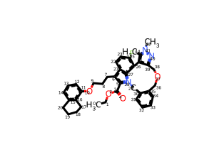 CCOC(=O)c1c(CCCOc2cccc3c2CCCC3)c2ccc(F)c3c2n1Cc1ccccc1COCc1nn(C)c(C)c1-3